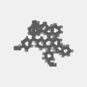 CC(C)(C)c1ccc(N(c2ccc(C(C)(C)C)cc2)c2ccc3c(c2)B2c4c(cc5c(oc6ccccc65)c4N3c3ccc(C(C)(C)C)cc3)-c3cccc4c5oc6ccccc6c5n2c34)cc1